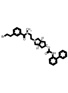 CN(CCN1C[C@H]2C[C@H](OC(=O)Nc3ccccc3-c3ccccc3)C[C@H]2C1)C(=O)c1cccc(CCBr)c1